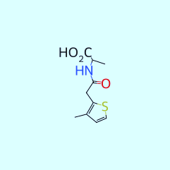 Cc1ccsc1CC(=O)NC(C)C(=O)O